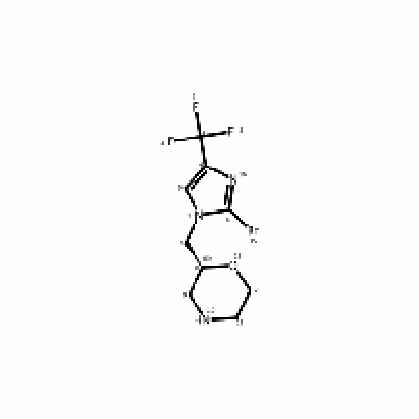 FC(F)(F)c1cn(C[C@@H]2CNCCO2)c(Br)n1